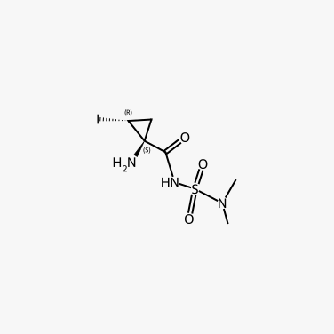 CN(C)S(=O)(=O)NC(=O)[C@@]1(N)C[C@H]1I